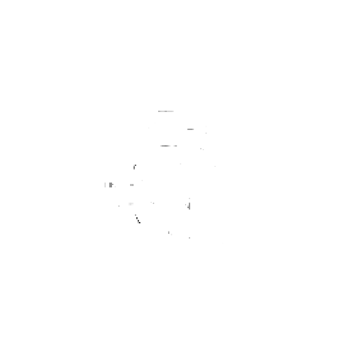 c1ccc(C2(N3CCC(n4c(N5C[C@@H]6C[C@H]5CN6)nc5ccccc54)CC3)CCCCCC2)cc1